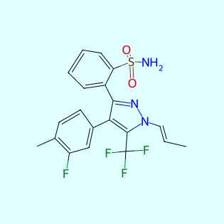 CC=Cn1nc(-c2ccccc2S(N)(=O)=O)c(-c2ccc(C)c(F)c2)c1C(F)(F)F